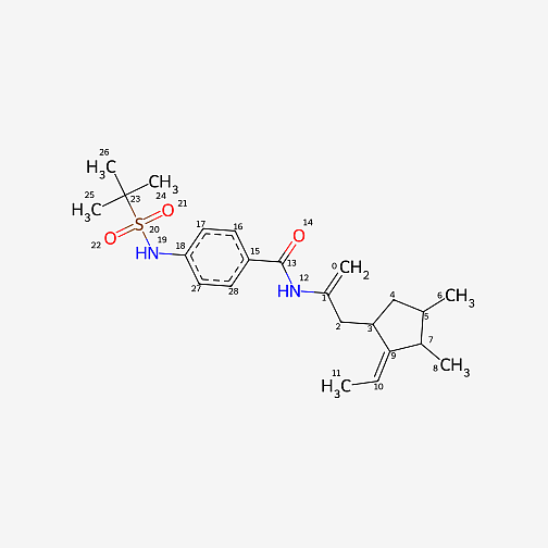 C=C(CC1CC(C)C(C)/C1=C/C)NC(=O)c1ccc(NS(=O)(=O)C(C)(C)C)cc1